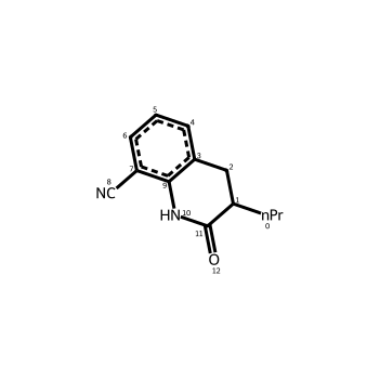 CCCC1Cc2cccc(C#N)c2NC1=O